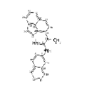 CN(C(=N)Nc1ccc2ccccc2c1)c1ccc2cccc3c2c1C=C3